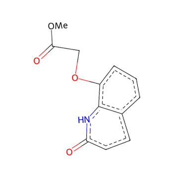 COC(=O)COc1cccc2ccc(=O)[nH]c12